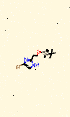 CC(C)(C)[Si](C)(C)OCCc1nc(Br)c[nH]1